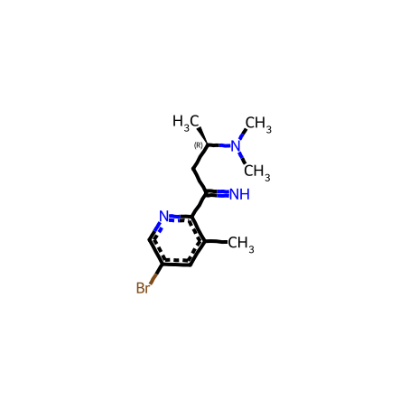 Cc1cc(Br)cnc1C(=N)C[C@@H](C)N(C)C